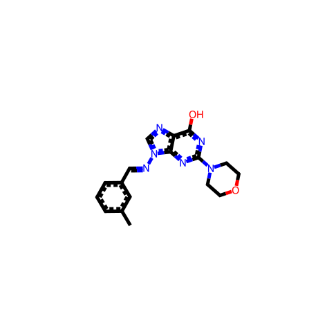 Cc1cccc(C=Nn2cnc3c(O)nc(N4CCOCC4)nc32)c1